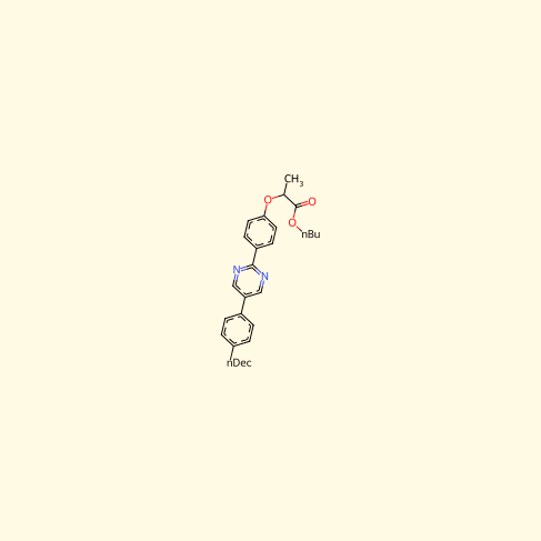 CCCCCCCCCCc1ccc(-c2cnc(-c3ccc(OC(C)C(=O)OCCCC)cc3)nc2)cc1